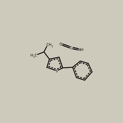 CC(C)c1csc(-c2ccccc2)c1.N=C=O